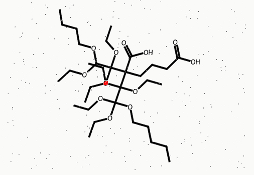 CCCCCOC(OCC)(OCC)C(OCC)(OCC)C(CCCC(=O)O)(C(=O)O)C(OCC)(OCC)C(OCC)OCCCC